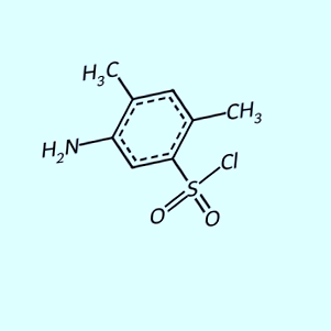 Cc1cc(C)c(S(=O)(=O)Cl)cc1N